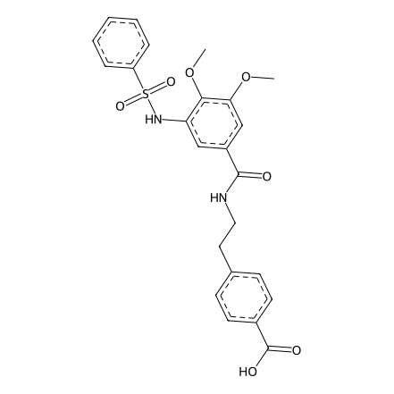 COc1cc(C(=O)NCCc2ccc(C(=O)O)cc2)cc(NS(=O)(=O)c2ccccc2)c1OC